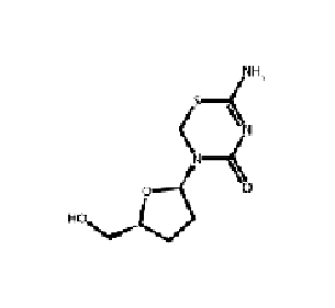 NC1=NC(=O)N([C@H]2CC[C@@H](CO)O2)CS1